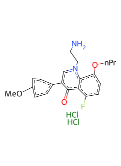 CCCOc1ccc(F)c2c(=O)c(-c3ccc(OC)cc3)cn(CCN)c12.Cl.Cl